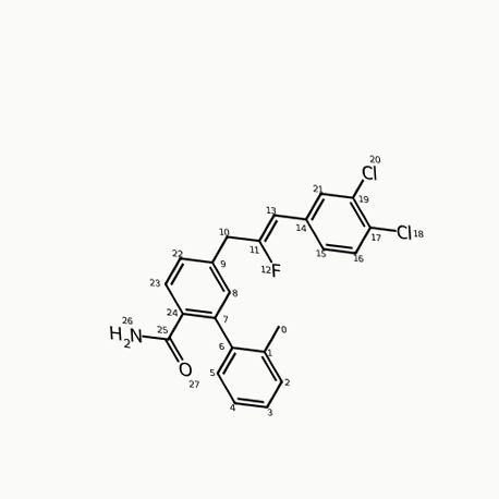 Cc1ccccc1-c1cc(CC(F)=Cc2ccc(Cl)c(Cl)c2)ccc1C(N)=O